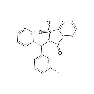 Cc1cccc(C(c2ccccc2)N2C(=O)c3ccccc3S2(=O)=O)c1